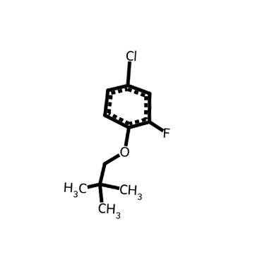 CC(C)(C)COc1ccc(Cl)cc1F